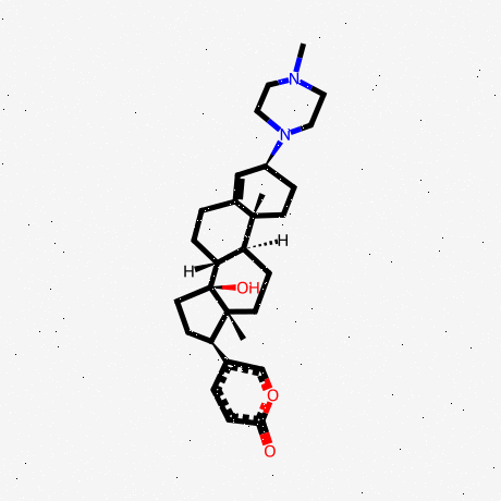 CN1CCN([C@@H]2C=C3CC[C@@H]4[C@H](CC[C@]5(C)[C@@H](c6ccc(=O)oc6)CC[C@]45O)[C@@]3(C)CC2)CC1